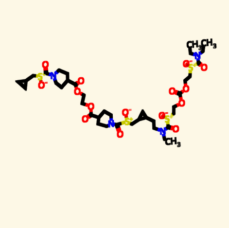 CCN(CC)C(=O)[S+]([O-])CCOC(=O)OCC[S+]([O-])C(=O)N(CC)CCC1CC1C[S+]([O-])C(=O)N1CCC(C(=O)OCCOC(=O)C2CCN(C(=O)[S+]([O-])CC3CC3)CC2)CC1